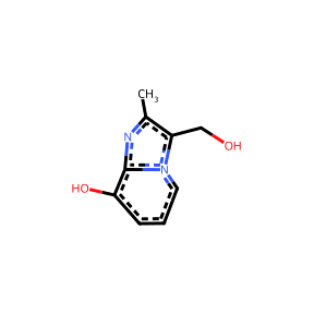 Cc1nc2c(O)cccn2c1CO